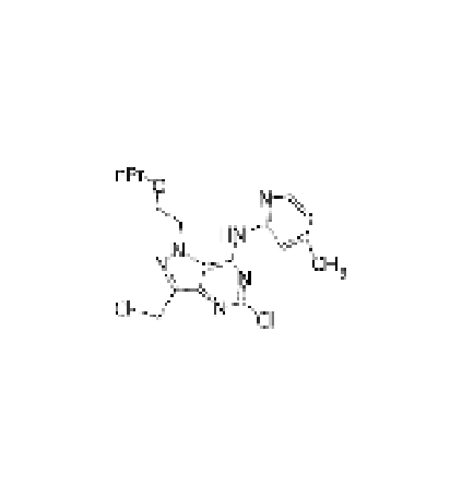 CCCOCCn1nc(CCl)c2nc(Cl)nc(Nc3cc(C)ccn3)c21